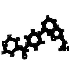 N=Cc1cc2cccc(-c3ccc(C(=O)N4CCOCC4)cc3)c2o1